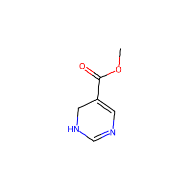 COC(=O)C1=CN=CNC1